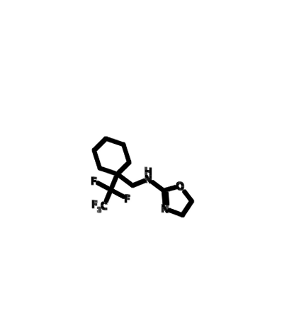 FC(F)(F)C(F)(F)C1(CNC2=NCCO2)CCCCC1